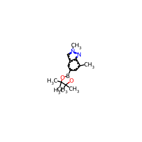 Cc1cc(B2OC(C)(C)C(C)(C)O2)cc2cn(C)nc12